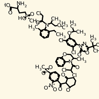 CC(C)Oc1cc(-n2nc(C(C)(C)C)oc2=O)c(Cl)cc1Cl.CC1COc2ccccc2N1C(=O)C(Cl)Cl.CCc1cccc(C)c1N(C(=O)CCl)C(C)COC.CP(=O)(O)CCC(N)C(=O)O.CS(=O)(=O)c1ccc(C(=O)C2C(=O)CCCC2=O)c([N+](=O)[O-])c1